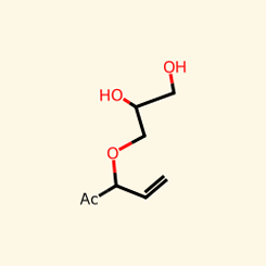 C=CC(OCC(O)CO)C(C)=O